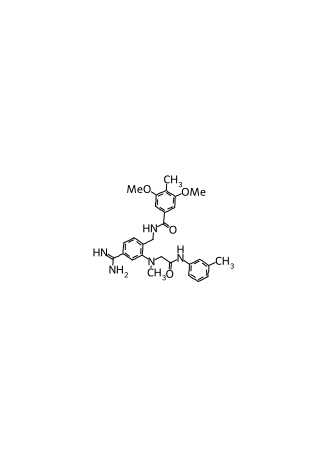 COc1cc(C(=O)NCc2ccc(C(=N)N)cc2N(C)CC(=O)Nc2cccc(C)c2)cc(OC)c1C